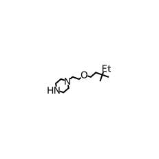 CCC(C)(C)CCOCCN1CCNCC1